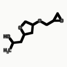 CC(O)CC1CC(OCC2CO2)CO1